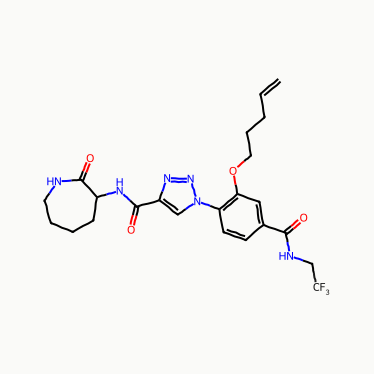 C=CCCCOc1cc(C(=O)NCC(F)(F)F)ccc1-n1cc(C(=O)NC2CCCCNC2=O)nn1